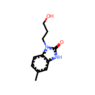 Cc1ccc2c(c1)[nH]c(=O)n2CCCO